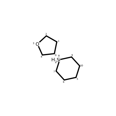 C1CCOC1.C1CC[SiH2]CC1